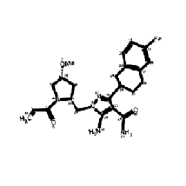 C=CC(=O)N1C[C@H](OC)C[C@H]1Cn1nc(C2CCc3cc(F)ccc3C2)c(C(N)=O)c1N